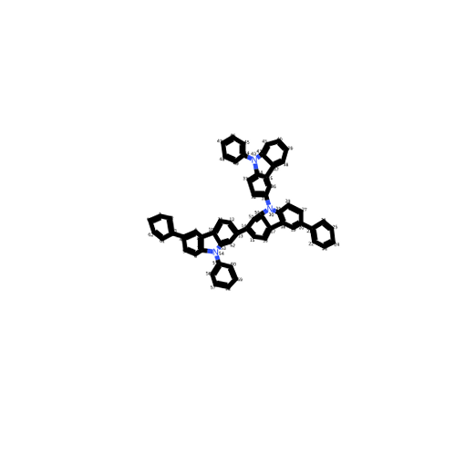 c1ccc(-c2ccc3c(c2)c2ccc(-c4ccc5c6cc(-c7ccccc7)ccc6n(-c6ccc7c(c6)c6ccccc6n7-c6ccccc6)c5c4)cc2n3-c2ccccc2)cc1